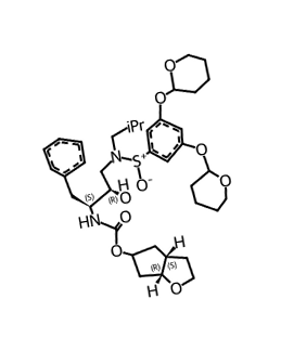 CC(C)CN(C[C@@H](O)[C@H](Cc1ccccc1)NC(=O)OC1C[C@@H]2CCO[C@@H]2C1)[S+]([O-])c1cc(OC2CCCCO2)cc(OC2CCCCO2)c1